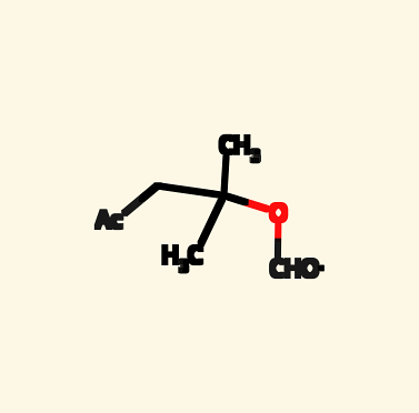 CC(=O)CC(C)(C)O[C]=O